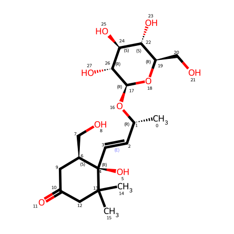 C[C@H](/C=C/[C@@]1(O)[C@H](CO)CC(=O)CC1(C)C)O[C@@H]1O[C@H](CO)[C@@H](O)[C@H](O)[C@H]1O